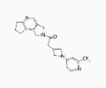 O=C(CC1CN(c2ccnc(C(F)(F)F)c2)C1)N1Cc2cnc3c(c2C1)CCC3